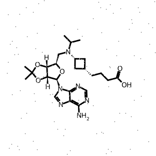 CC(C)N(C[C@H]1O[C@@H](n2cnc3c(N)ncnc32)[C@@H]2OC(C)(C)O[C@@H]21)[C@H]1C[C@@H](CCCC(=O)O)C1